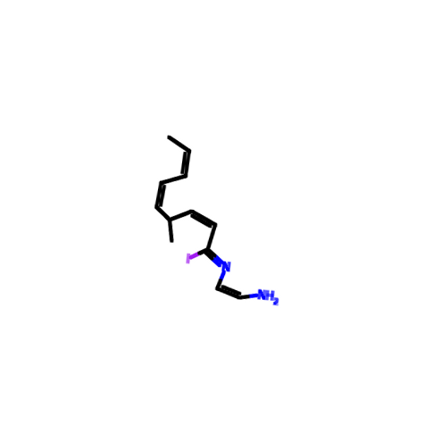 C/C=C\C=C/C(C)\C=C/C(I)=N/C=C\N